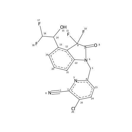 N#Cc1nc(CN2C(=O)C(F)(F)c3c(C(O)C(F)F)cccc32)ccc1Cl